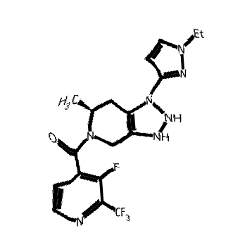 CCn1ccc(N2NNC3=C2C[C@H](C)N(C(=O)c2ccnc(C(F)(F)F)c2F)C3)n1